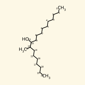 CCCCCCCCCCC(O)C(C)CCCCCCC